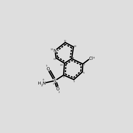 NS(=O)(=O)c1ccc(Cl)c2ccncc12